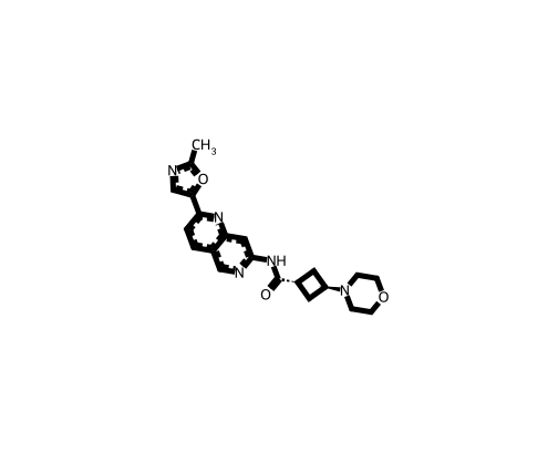 Cc1ncc(-c2ccc3cnc(NC(=O)[C@H]4C[C@H](N5CCOCC5)C4)cc3n2)o1